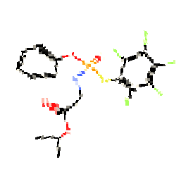 CC(C)OC(=O)CN[P@](=O)(Oc1ccccc1)Sc1c(F)c(F)c(F)c(F)c1F